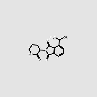 CC(C)c1cccc2c1C(=O)N(C1CCCNC1=O)C2=O